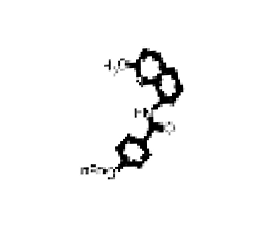 CCCOc1ccc(C(=O)Nc2cccc3ccc(C)nc23)cc1